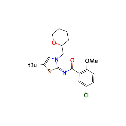 COc1ccc(Cl)cc1C(=O)N=c1sc(C(C)(C)C)cn1CC1CCCCO1